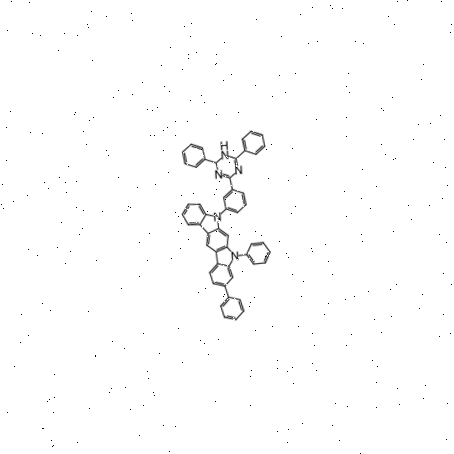 c1ccc(C2=NC(c3cccc(-n4c5ccccc5c5cc6c7ccc(-c8ccccc8)cc7n(-c7ccccc7)c6cc54)c3)=NC(c3ccccc3)N2)cc1